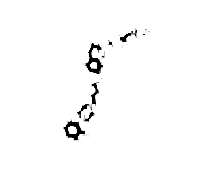 CCCCNCC(=O)OCOC1=Nc2cc(OCCCCN3CCN(c4cccc(Cl)c4Cl)CC3)ccc2CC1